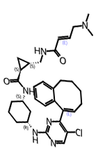 CN(C)C/C=C/C(=O)NC[C@H]1C[C@@H]1C(=O)N[C@H]1CCC[C@@H](Nc2ncc(Cl)c(/C3=C/CCCCc4ccccc43)n2)C1